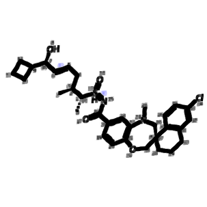 C[C@H]([C@@H](C)C/C=C/[C@H](O)C1CCC1)/[SH](=O)=N\C(=O)c1ccc2c(c1)N(C)C[C@@]1(CCCc3cc(Cl)ccc31)CO2